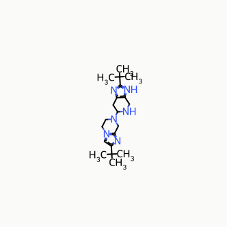 CC(C)(C)c1cn2c(n1)CN(C1Cc3nc(C(C)(C)C)[nH]c3CN1)CC2